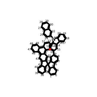 c1ccc2c(c1)-c1ccc(-c3ccc4c(c3)c3ccccc3n4-c3ccc4ccccc4c3)cc1C21c2ccccc2-c2cc3c4ccccc4c4ccccc4c3cc21